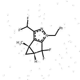 CC(C)Cn1nc(C(F)F)c2c1C(F)(F)[C@@H]1C[C@]21C